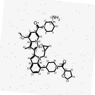 COc1cc(C(=O)N2CCC[C@@H](N)C2)cn2nc(-c3cc4cccc(C5CCN(C(=O)C6CCCO6)CC5)c4n3CC3CC3)c(C)c12